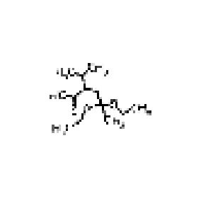 CCOC(C)(CC(C(=O)O)C(C)C)OCC